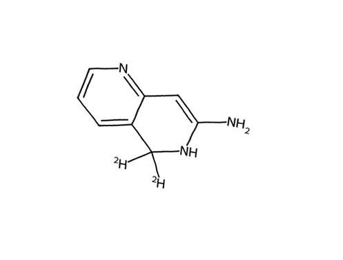 [2H]C1([2H])NC(N)=Cc2ncccc21